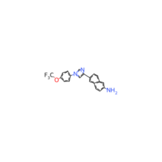 Nc1ccc2cc(-c3cn(-c4ccc(OC(F)(F)F)cc4)cn3)ccc2c1